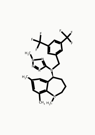 Cc1cc(C)c2c(c1)[C@@H](N(Cc1cc(C(F)(F)F)cc(C(F)(F)F)c1)c1nnn(C)n1)CCCN2C